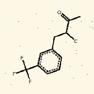 CC(=O)C(Cl)Cc1cccc(C(F)(F)F)c1